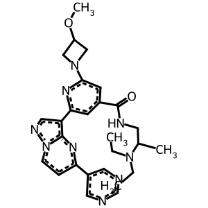 CCN(CC)C(C)CNC(=O)c1cc(-c2cnn3ccc(-c4cncnc4)nc23)nc(N2CC(OC)C2)c1